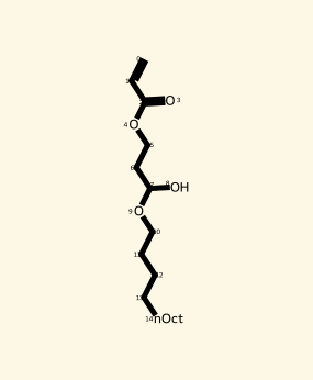 C=CC(=O)OCCC(O)OCCCCCCCCCCCC